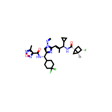 C=Nn1cc([C@@H](NC(=O)c2nonc2C)C2CCC(F)(F)CC2)nc1/C=C(\C)[C@H](NC(=O)[C@@]12C[C@@H]1[C@@H](F)C2)C1CC1